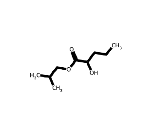 CCCC(O)C(=O)OCC(C)C